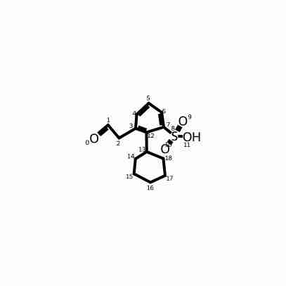 O=CCc1cccc(S(=O)(=O)O)c1C1CCCCC1